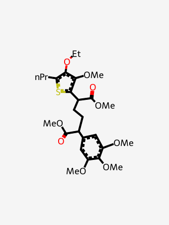 CCCc1sc(C(CCC(C(=O)OC)c2cc(OC)c(OC)c(OC)c2)C(=O)OC)c(OC)c1OCC